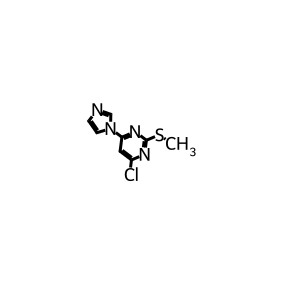 CSc1nc(Cl)cc(-n2ccnc2)n1